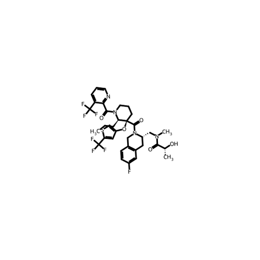 CCC[C@H]1N(C(=O)c2ncccc2C(F)(F)F)CCC[C@]1(Oc1csc(C(F)(F)F)c1)C(=O)N1Cc2ccc(F)cc2C[C@H]1CN(C)C(=O)[C@@H](C)O